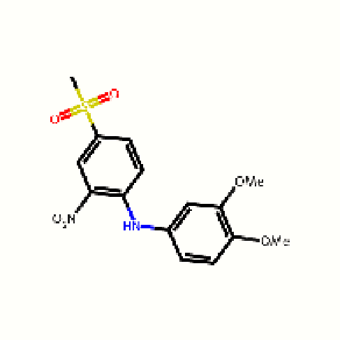 COc1ccc(Nc2ccc(S(C)(=O)=O)cc2[N+](=O)[O-])cc1OC